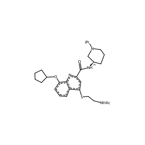 CC(=O)NCCSc1cc(C(=O)N[C@@H]2CCCN(C(C)C)C2)nc2c(OC3CCCC3)cccc12